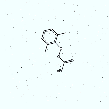 CCCC(=O)OOc1c(C)cccc1C